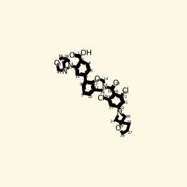 O=C(O)c1ccc(-c2cccc3c2OCN(C(=O)c2c(Cl)cc(N4CC5(CCCO5)C4)cc2Cl)C3)cc1N1C2COCN1C2